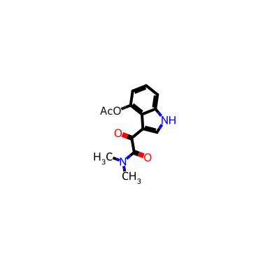 CC(=O)Oc1cccc2[nH]cc(C(=O)C(=O)N(C)C)c12